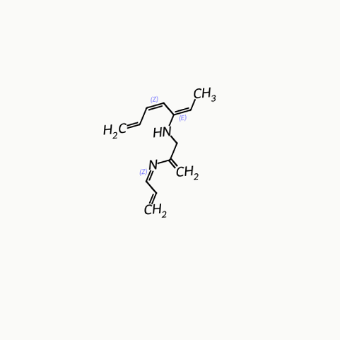 C=C/C=C\C(=C/C)NCC(=C)/N=C\C=C